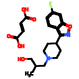 CC(CO)CN1CCC(c2noc3cc(F)ccc23)CC1.O=C(O)C=CC(=O)O